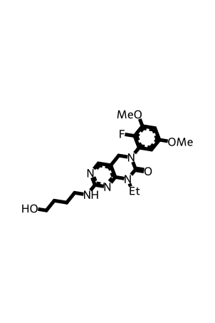 CCN1C(=O)N(c2cc(OC)cc(OC)c2F)Cc2cnc(NCCCCO)nc21